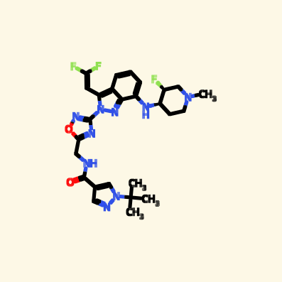 CN1CC[C@@H](Nc2cccc3c(C=C(F)F)n(-c4noc(CNC(=O)c5cnn(C(C)(C)C)c5)n4)nc23)[C@@H](F)C1